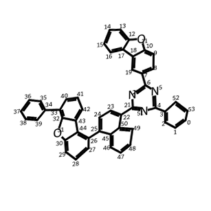 c1ccc(-c2nc(-c3ccc4oc5ccccc5c4c3)nc(-c3ccc(-c4cccc5oc6c(-c7ccccc7)cccc6c45)c4ccccc34)n2)cc1